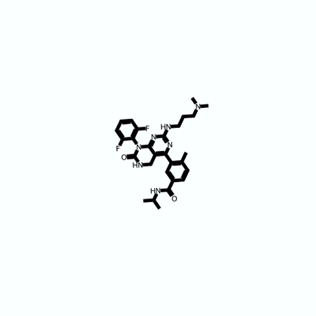 Cc1ccc(C(=O)NC(C)C)cc1-c1nc(NCCCN(C)C)nc2c1CNC(=O)N2c1c(F)cccc1F